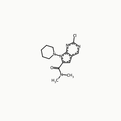 CN(C)C(=O)c1cc2cnc(Cl)nc2n1N1CCCCC1